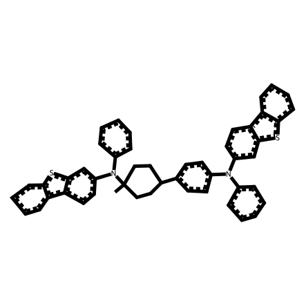 CC1(N(c2ccccc2)c2ccc3c(c2)sc2ccccc23)CCC(c2ccc(N(c3ccccc3)c3ccc4c(c3)sc3ccccc34)cc2)CC1